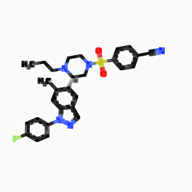 CCCN1CCN(S(=O)(=O)c2ccc(C#N)cc2)C[C@@H]1c1cc2cnn(-c3ccc(F)cc3)c2cc1C